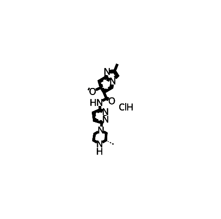 COc1cc2nc(C)cn2cc1C(=O)Nc1ccc(N2CCN[C@@H](C)C2)nn1.Cl